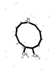 CC1CCCCNCCCCC1C